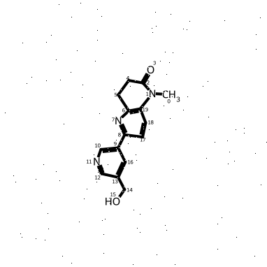 CN1C(=O)CCc2nc(-c3cncc(CO)c3)ccc21